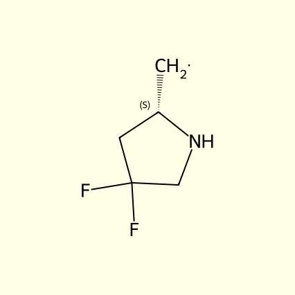 [CH2][C@H]1CC(F)(F)CN1